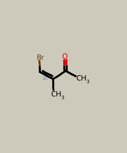 CC(=O)/C(C)=C\Br